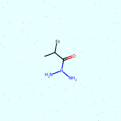 CCC(C)C(=O)N(N)N